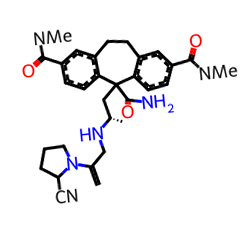 C=C(CN[C@@H](C)CC1(C(N)=O)c2ccc(C(=O)NC)cc2CCc2cc(C(=O)NC)ccc21)N1CCCC1C#N